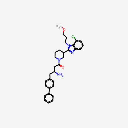 COCCCn1c(C2CCCN(C(=O)CC(N)Cc3ccc(-c4ccccc4)cc3)C2)nc2cccc(Cl)c21